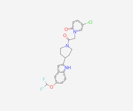 O=C(Cn1cc(Cl)ccc1=O)N1CCC(c2cc3cc(OC(F)F)ccc3[nH]2)CC1